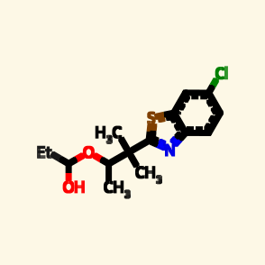 CCC(O)OC(C)C(C)(C)c1nc2ccc(Cl)cc2s1